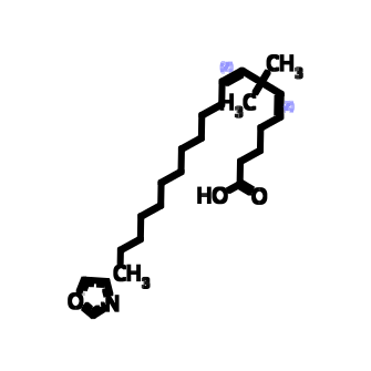 CCCCCCCCCCC/C=C\C(C)(C)/C=C\CCCC(=O)O.c1cocn1